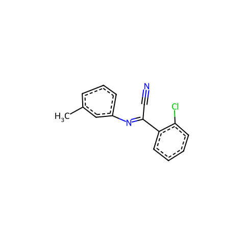 Cc1cccc(/N=C(\C#N)c2ccccc2Cl)c1